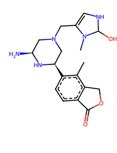 Cc1c([C@@H]2CN(CC3=CNC(O)N3C)C[C@H](N)N2)ccc2c1COC2=O